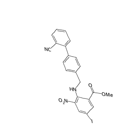 COC(=O)c1cc(I)cc([N+](=O)[O-])c1NCc1ccc(-c2ccccc2C#N)cc1